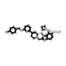 CCOC(=O)c1ccc2nc(CN3CC=C(c4cccc(OCc5ccc(Cl)cc5)n4)CC3)n(C[C@@H]3CCO3)c2c1C